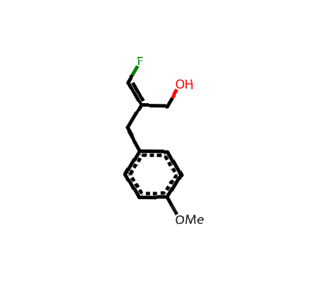 COc1ccc(CC(=CF)CO)cc1